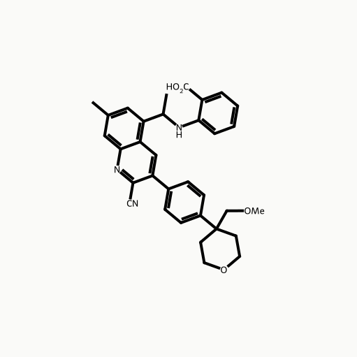 COCC1(c2ccc(-c3cc4c(C(C)Nc5ccccc5C(=O)O)cc(C)cc4nc3C#N)cc2)CCOCC1